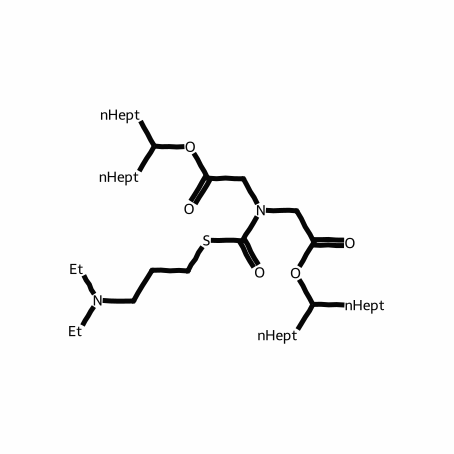 CCCCCCCC(CCCCCCC)OC(=O)CN(CC(=O)OC(CCCCCCC)CCCCCCC)C(=O)SCCCN(CC)CC